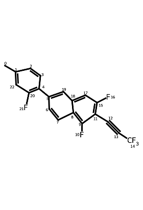 Cc1ccc(-c2ccc3c(F)c(C#CC(F)(F)F)c(F)cc3c2)c(F)c1